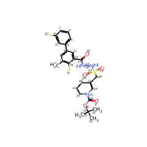 Cc1cc(-c2cccc(F)c2)cc(C(=O)NNS(=O)(=O)CC2CCCN(C(=O)OC(C)(C)C)C2)c1F